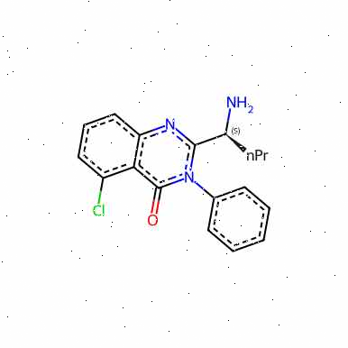 CCC[C@H](N)c1nc2cccc(Cl)c2c(=O)n1-c1ccccc1